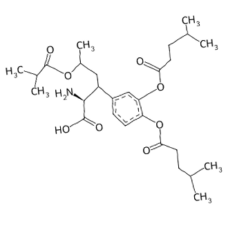 CC(C)CCC(=O)Oc1ccc(C(CC(C)OC(=O)C(C)C)[C@H](N)C(=O)O)cc1OC(=O)CCC(C)C